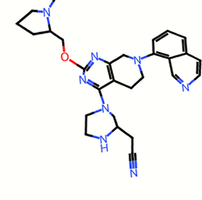 CN1CCCC1COc1nc2c(c(N3CCNC(CC#N)C3)n1)CCN(c1cccc3ccncc13)C2